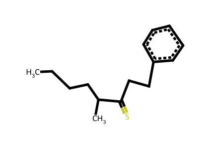 CCCCC(C)C(=S)CCc1ccccc1